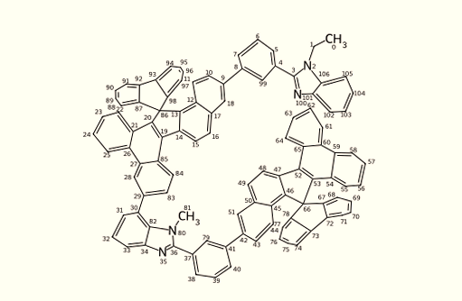 CCn1c(-c2cccc(-c3ccc4c5c(ccc4c3)-c3c(c4ccccc4c4cc(-c6cccc7nc(-c8cccc(-c9ccc%10c%11c(ccc%10c9)-c9c(c%10ccccc%10c%10ccccc9%10)C%119c%10ccccc%10-c%10ccccc%109)c8)n(C)c67)ccc34)C53c4ccccc4-c4ccccc43)c2)nc2ccccc21